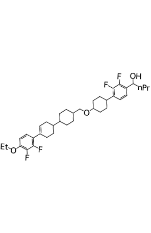 CCCC(O)c1ccc(C2CCC(OCC3CCC(C4CC=C(c5ccc(OCC)c(F)c5F)CC4)CC3)CC2)c(F)c1F